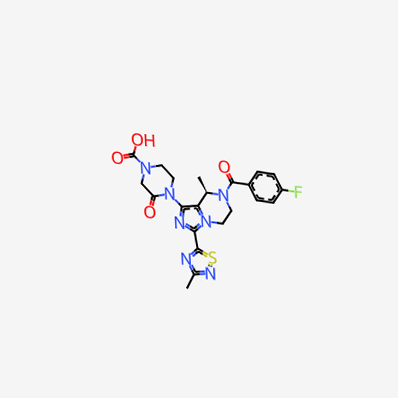 Cc1nsc(-c2nc(N3CCN(C(=O)O)CC3=O)c3n2CCN(C(=O)c2ccc(F)cc2)[C@@H]3C)n1